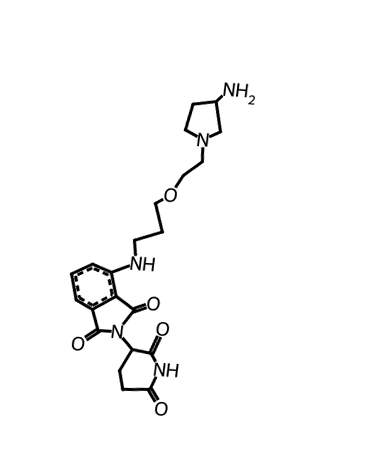 NC1CCN(CCOCCCNc2cccc3c2C(=O)N(C2CCC(=O)NC2=O)C3=O)C1